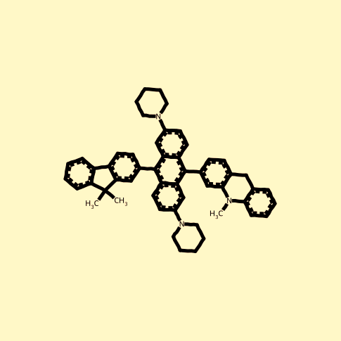 CN1c2ccccc2Cc2ccc(-c3c4ccc(N5CCCCC5)cc4c(-c4ccc5c(c4)C(C)(C)c4ccccc4-5)c4ccc(N5CCCCC5)cc34)cc21